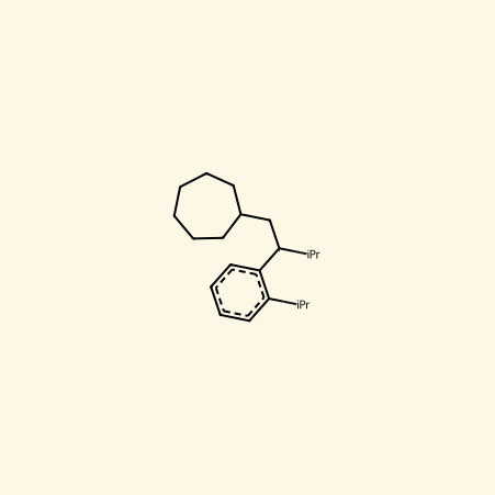 CC(C)[C](CC1CCCCCC1)c1ccccc1C(C)C